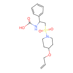 C=CCOC1CCN(S(=O)(=O)CC(NC(=O)O)c2ccccc2)CC1